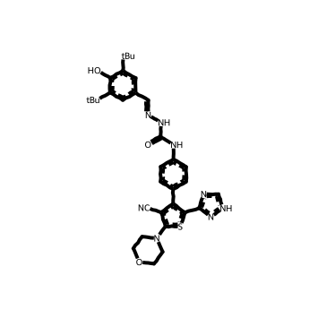 CC(C)(C)c1cc(/C=N/NC(=O)Nc2ccc(-c3c(-c4nc[nH]n4)sc(N4CCOCC4)c3C#N)cc2)cc(C(C)(C)C)c1O